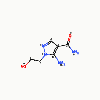 NC(=O)c1cnn(CCO)c1N